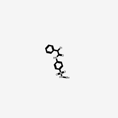 CCC(C)NS(=O)(=O)c1ccc(NC(=O)C(CC)c2ccccc2)cc1